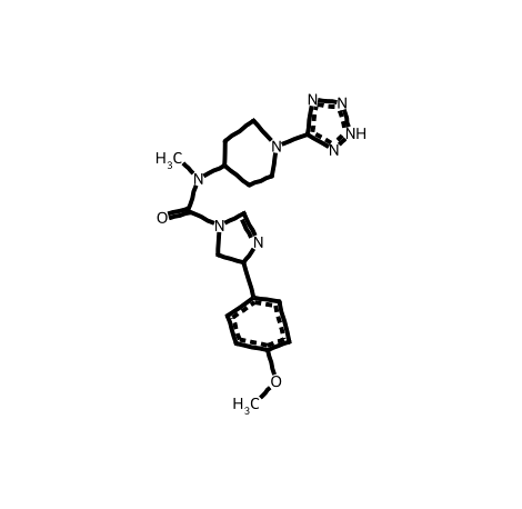 COc1ccc(C2CN(C(=O)N(C)C3CCN(c4nn[nH]n4)CC3)C=N2)cc1